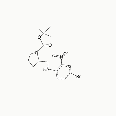 CC(C)(C)OC(=O)N1CCCC1CNc1ccc(Br)cc1[N+](=O)[O-]